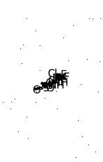 COCCc1sc(S(=O)(=O)NC(=O)Nc2cc(C(F)(F)F)cc(Cl)n2)cc1C